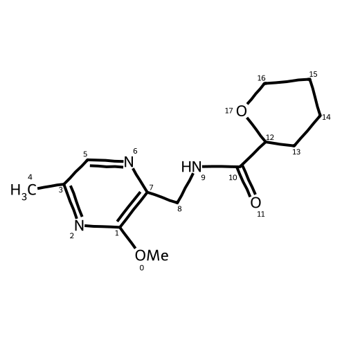 COc1nc(C)cnc1CNC(=O)C1CCCCO1